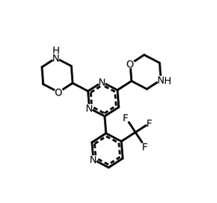 FC(F)(F)c1ccncc1-c1cc(C2CNCCO2)nc(C2CNCCO2)n1